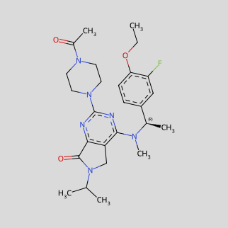 CCOc1ccc([C@@H](C)N(C)c2nc(N3CCN(C(C)=O)CC3)nc3c2CN(C(C)C)C3=O)cc1F